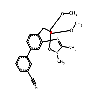 COC1CC2(Cc3ccc(-c4cccc(C#N)c4)cc3C23N=C(N)N(C)O3)CC1OC